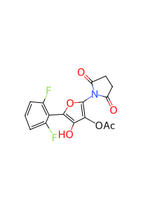 CC(=O)Oc1c(N2C(=O)CCC2=O)oc(-c2c(F)cccc2F)c1O